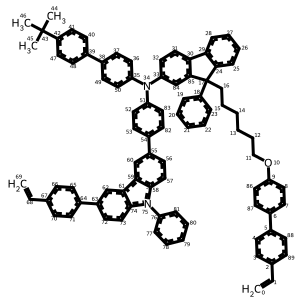 C=Cc1ccc(-c2ccc(OCCCCCCC3(c4ccccc4)c4ccccc4-c4ccc(N(c5ccc(-c6ccc(C(C)(C)C)cc6)cc5)c5ccc(-c6ccc7c(c6)c6cc(-c8ccc(C=C)cc8)ccc6n7-c6ccccc6)cc5)cc43)cc2)cc1